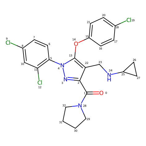 O=C(c1nn(-c2ccc(Cl)cc2Cl)c(Oc2ccc(Cl)cc2)c1CNC1CC1)N1CCCC1